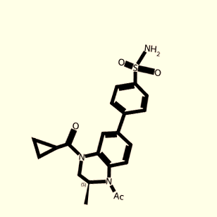 CC(=O)N1c2ccc(-c3ccc(S(N)(=O)=O)cc3)cc2N(C(=O)C2CC2)C[C@@H]1C